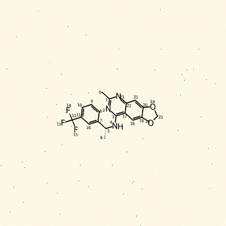 Cc1nc(N[C@H](C)c2cccc(C(F)(F)F)c2)c2cc3c(cc2n1)OCO3